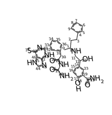 CC(CCc1ccccc1)NCC(O)c1ccc(O)c(C(N)=O)c1.NC(=O)NC(=O)Cc1ccccc1.S=c1nc[nH]c2nc[nH]c12